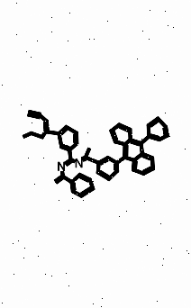 C#C/C=C(\CCC)c1cccc(C(=N/C(=C)c2ccccc2)/N=C(\C)c2cccc(-c3c4ccccc4c(-c4ccccc4)c4ccccc34)c2)c1